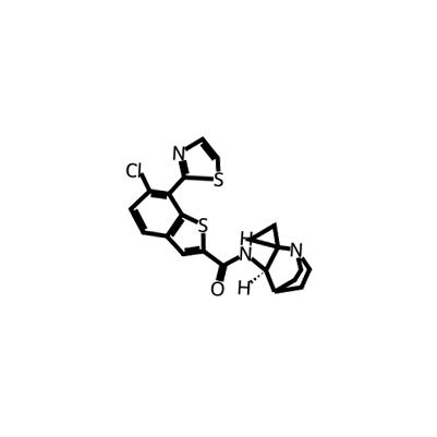 O=C(N[C@@H]1C2CCN(CC2)C12CC2)c1cc2ccc(Cl)c(-c3nccs3)c2s1